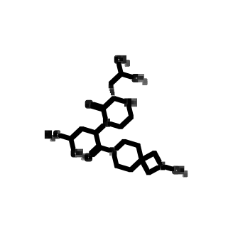 CC(C)CC(C(=O)N1CCC2(CC1)CN(C)C2)N1CCN[C@@H](CC(C)C)C1=O